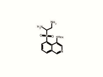 CCCCCCc1cncc2cccc(S(=O)(=O)C(N)CN)c12